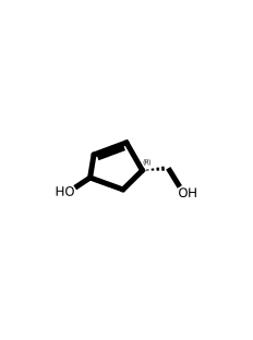 OC[C@H]1C=CC(O)C1